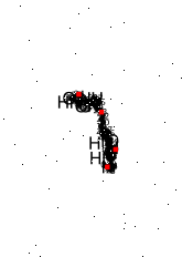 CN1CCC[C@@H]1c1cc2cnc(NC(=O)c3ccc(CCCCC#Cc4cccc(C(=O)N[C@H]5CCC(=O)NC5=O)n4)cc3)cc2[nH]1